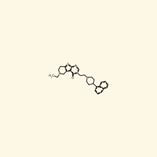 CCN1CCc2sc3ncn(CCN4CCC(c5cccc6ccccc56)CC4)c(=O)c3c2C1